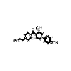 CC(C)CCN1CCN(C(=O)C2CCN(c3ccc(C#N)cn3)CC2)CC1.Cl